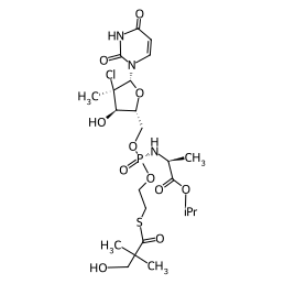 CC(C)OC(=O)[C@H](C)N[P@@](=O)(OCCSC(=O)C(C)(C)CO)OC[C@H]1O[C@@H](n2ccc(=O)[nH]c2=O)[C@](C)(Cl)[C@@H]1O